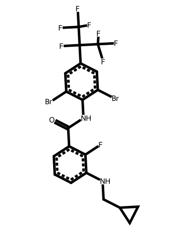 O=C(Nc1c(Br)cc(C(F)(C(F)(F)F)C(F)(F)F)cc1Br)c1cccc(NCC2CC2)c1F